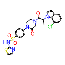 CC(C(=O)N1CCN(c2ccc(S(=O)(=O)Nc3nccs3)cc2)C(=O)C1)n1ccc2cccc(Cl)c21